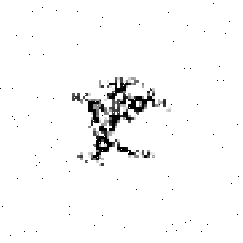 CCn1nc(C)cc1C(=O)Nc1nc2cc(C(N)=O)cc(OCCCOC)c2n1CC1CC1[C@H]1COc2cc(C(N)=O)cc3nc(NC(=O)c4cc(C)nn4CC)n1c23